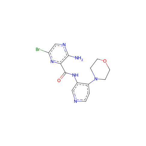 Nc1ncc(Br)nc1C(=O)Nc1cnccc1N1CCOCC1